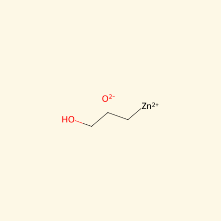 OCC[CH2][Zn+2].[O-2]